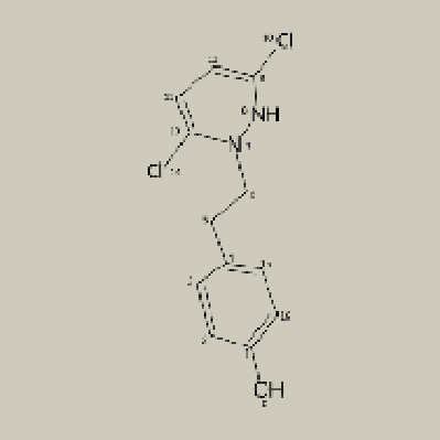 Oc1ccc(CCN2NC(Cl)=CC=C2Cl)cc1